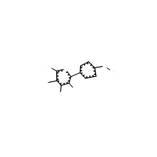 Nc1c(Cl)c(C(=O)O)nc(-c2ccc(OC(F)(F)F)cc2)c1Cl